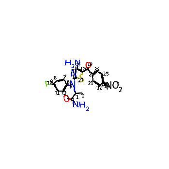 CC(C(N)=O)N(c1ccc(F)cc1)c1nc(N)c(C(=O)c2ccc([N+](=O)[O-])cc2)s1